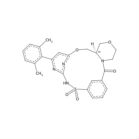 Cc1cccc(C)c1-c1cc2nc(n1)NS(=O)(=O)c1cccc(c1)C(=O)N1CCOC[C@@H]1CO2